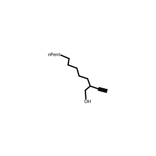 C#CC(CO)CCCCCCCCCC